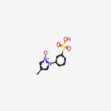 Cc1cn(-c2cccc(S(=O)(=O)O)c2)[n+]([O-])c1